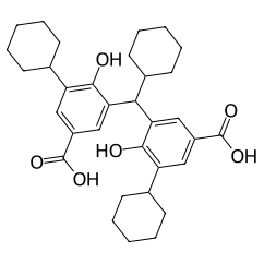 O=C(O)c1cc(C2CCCCC2)c(O)c(C(c2cc(C(=O)O)cc(C3CCCCC3)c2O)C2CCCCC2)c1